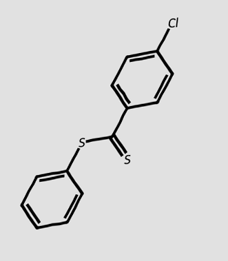 S=C(Sc1ccccc1)c1ccc(Cl)cc1